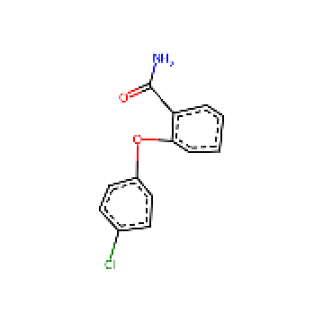 NC(=O)c1ccccc1Oc1ccc(Cl)cc1